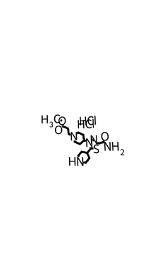 COC(=O)CCN1CCC(N2N=C(C(N)=O)SC2C2CCNCC2)CC1.Cl.Cl